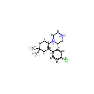 CC1(C)CCC(N2CCNCC2)=C(c2ccc(Cl)cc2)C1